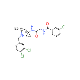 CC[C@@H]1C[C@@]2(NC(=O)CNC(=O)c3cccc(Cl)c3)CC2N1Cc1ccc(Cl)c(Cl)c1